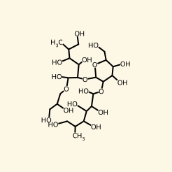 CC(CO)C(O)C(O)C(O)C(O)OC1C(OC(C(O)OCC(O)CO)C(O)C(O)C(C)CO)OC(CO)C(O)C1O